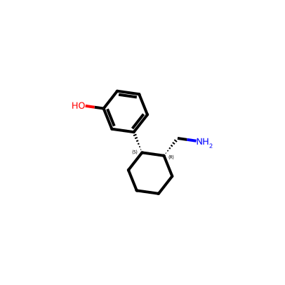 NC[C@@H]1CCCC[C@@H]1c1cccc(O)c1